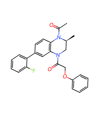 CC(=O)N1c2ccc(-c3ccccc3F)cc2N(C(=O)COc2ccccc2)C[C@@H]1C